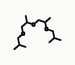 CC(C)COCC(C)OCC(C)OCC(C)C